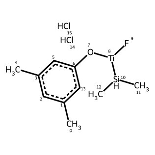 Cc1cc(C)cc([O][Ti]([F])[SiH](C)C)c1.Cl.Cl